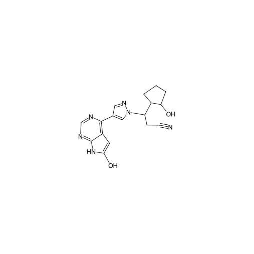 N#CCC(C1CCCC1O)n1cc(-c2ncnc3[nH]c(O)cc23)cn1